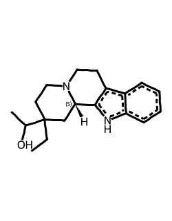 CCC1(C(C)O)CCN2CCc3c([nH]c4ccccc34)[C@@H]2C1